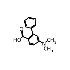 CN(C)c1ccc(C(=O)O)c(-c2ccccc2)c1